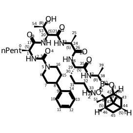 CCCCC[C@H](NC(=O)N1CCC(c2ccccc2)CC1)C(=O)N[C@H](C(=O)N[C@@H](C)C(=O)N[C@@H](CCCCN)C(=O)N[C@@H](C)B1O[C@@H]2C[C@@H]3C[C@@H](C3(C)C)[C@]2(C)O1)[C@@H](C)O